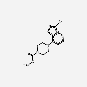 CC(C)(C)OC(=O)N1CCN(c2cccn3c(Br)ncc23)CC1